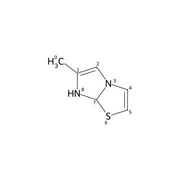 CC1=CN2C=CSC2N1